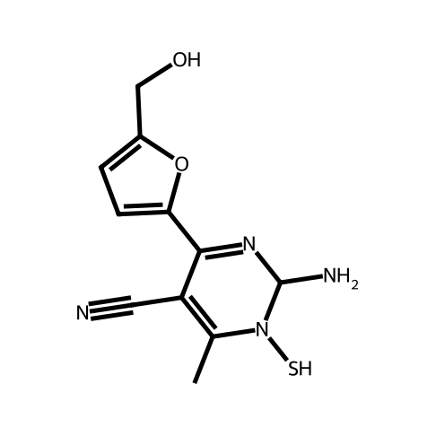 CC1=C(C#N)C(c2ccc(CO)o2)=NC(N)N1S